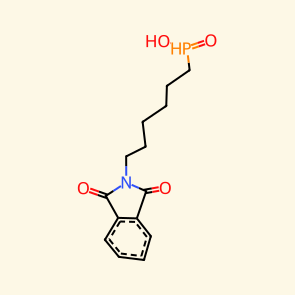 O=C1c2ccccc2C(=O)N1CCCCCC[PH](=O)O